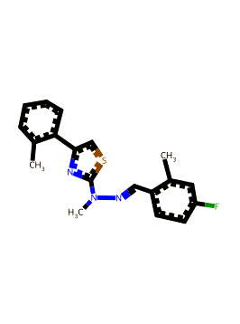 Cc1cc(F)ccc1/C=N/N(C)c1nc(-c2ccccc2C)cs1